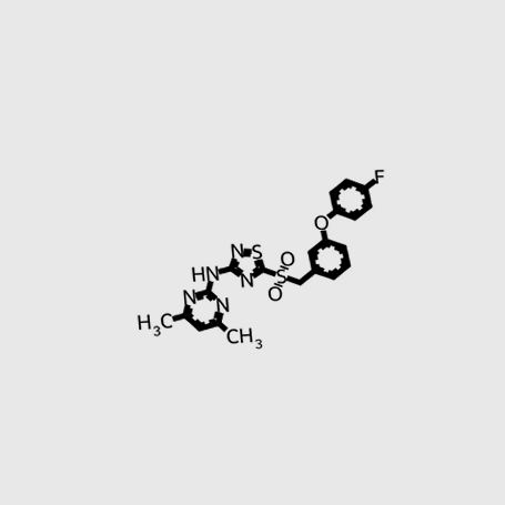 Cc1cc(C)nc(Nc2nsc(S(=O)(=O)Cc3cccc(Oc4ccc(F)cc4)c3)n2)n1